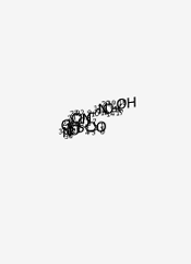 COc1ccc2c(c1)N(CCCN1CCC(C(C)O)CC1)c1cccc(S(=O)(=O)N(C)C)c1S2